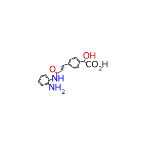 Nc1ccccc1NC(=O)/C=C/c1ccc(C(O)C(=O)O)cc1